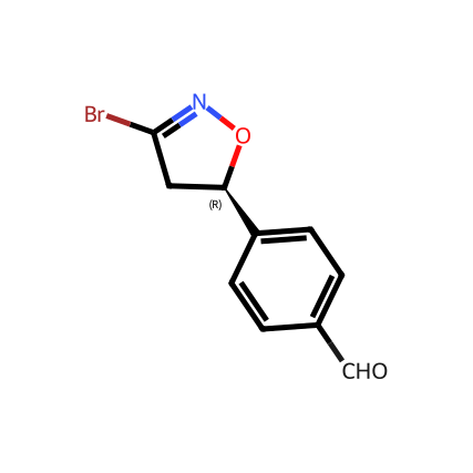 O=Cc1ccc([C@H]2CC(Br)=NO2)cc1